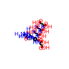 CN1c2c(nc(N)[nH]c2=O)NCC1CNc1ccc(C(=O)NC(CCC(=O)O)C(=O)O)cc1.NC(CCC(=O)O)C(=O)O.NC(CCC(=O)O)C(=O)O.NC(CCC(=O)O)C(=O)O